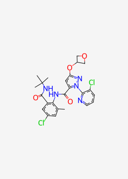 Cc1cc(Cl)cc(C(=O)NC(C)(C)C)c1NC(=O)c1cc(OC2COC2)nn1-c1ncccc1Cl